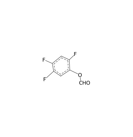 O=COc1cc(F)c(F)cc1F